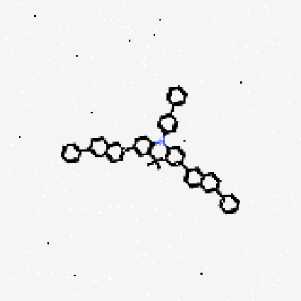 CC1(C)c2cc(-c3ccc4cc(-c5ccccc5)ccc4c3)ccc2N(c2ccc(-c3ccccc3)cc2)c2ccc(-c3ccc4cc(-c5ccccc5)ccc4c3)cc21